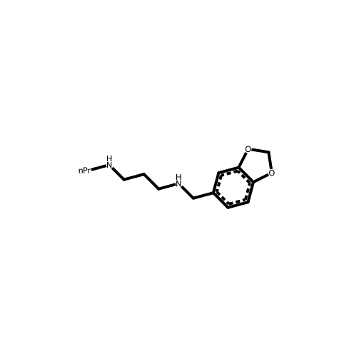 CCCNCCCNCc1ccc2c(c1)OCO2